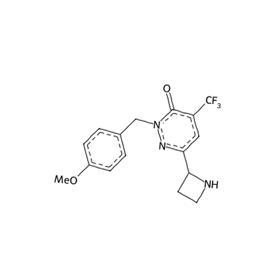 COc1ccc(Cn2nc(C3CCN3)cc(C(F)(F)F)c2=O)cc1